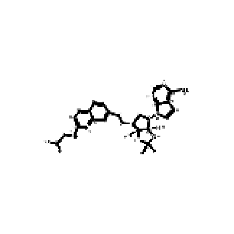 CC1(C)O[C@@H]2[C@@H](CCc3ccc4ccc(NCC(F)F)nc4c3)C[C@@H](n3ccc4c(N)ncnc43)[C@@H]2O1